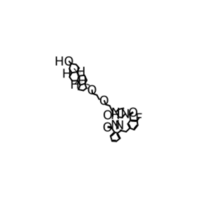 C[C@]12CCC(O)C[C@@H]1CC[C@@H]1[C@@H]2CC[C@]2(C)[C@@H](OCCCOCCC(=O)N3CCN(C(=O)c4cc(Cc5n[nH]c(=O)c6ccccc56)ccc4F)CC3)CC[C@@H]12